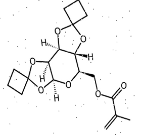 C=C(C)C(=O)OC[C@H]1O[C@H]2OC3(CCC3)O[C@H]2[C@H]2OC3(CCC3)O[C@@H]21